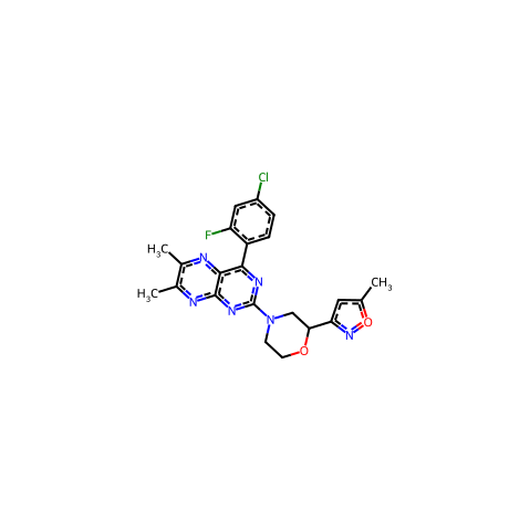 Cc1cc(C2CN(c3nc(-c4ccc(Cl)cc4F)c4nc(C)c(C)nc4n3)CCO2)no1